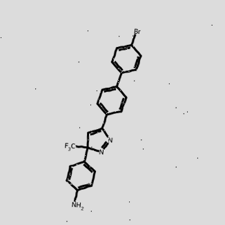 Nc1ccc(C2(C(F)(F)F)C=C(c3ccc(-c4ccc(Br)cc4)cc3)N=N2)cc1